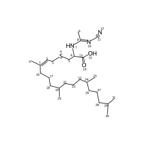 CC(=CCSCC(NC(C)=NC#N)C(=O)O)CCCC(C)CCCC(C)CCCC(C)C